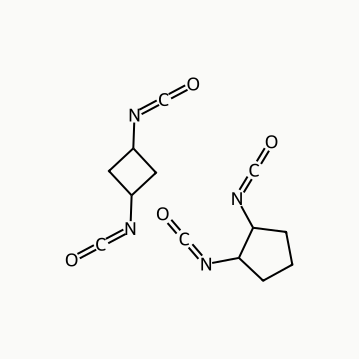 O=C=NC1CC(N=C=O)C1.O=C=NC1CCCC1N=C=O